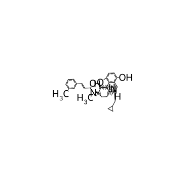 Cc1cccc(C=CC(=O)N(C)[C@@H]2CC[C@H]3[C@H]4Cc5c(O)ccc6c5[C@@]3(CCN4CC3CC3)[C@H]2O6)c1